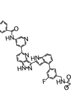 CS(=O)(=O)NCc1cc(F)cc(-c2cccc3[nH]c(-c4n[nH]c5ccc(-c6cncc(NC(=O)c7ccccc7)c6)nc45)cc23)c1